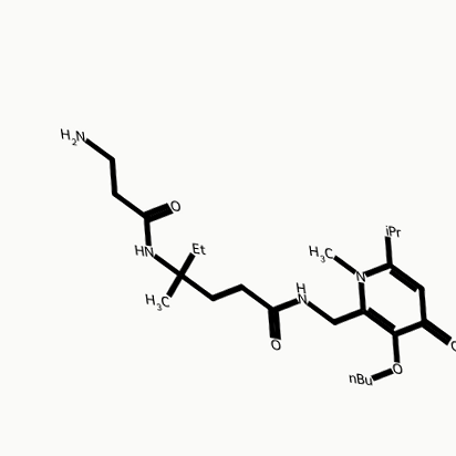 CCCCOc1c(CNC(=O)CCC(C)(CC)NC(=O)CCN)n(C)c(C(C)C)cc1=O